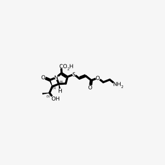 C[C@H](O)[C@H]1C(=O)N2C(C(=O)O)=C(SC=CC(=O)OCCN)C[C@H]12